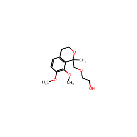 COc1ccc2c(c1OC)C(C)(COCCO)OCC2